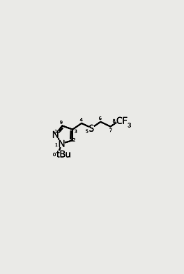 CC(C)(C)n1cc(CSCCC(F)(F)F)cn1